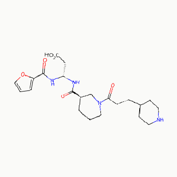 O=C(O)C[C@@H](NC(=O)c1ccco1)NC(=O)[C@@H]1CCCN(C(=O)CCC2CCNCC2)C1